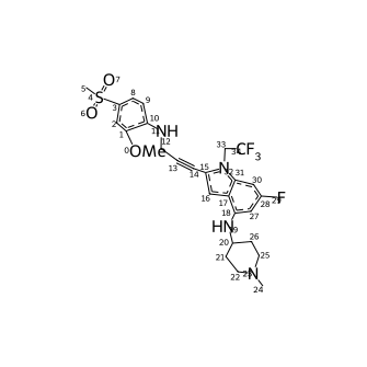 COc1cc(S(C)(=O)=O)ccc1NCC#Cc1cc2c(NC3CCN(C)CC3)cc(F)cc2n1CC(F)(F)F